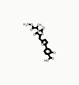 COC(=O)C(C)N1C(=O)S/C(=C\c2ccc(-c3ccc(C(=O)O)c(Cl)c3)o2)C1=O